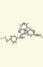 CCOc1ccc(NC2=N[N+]3(c4ccc(N)nc4)C=CN=CC3=N2)cc1